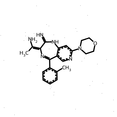 C/C(N)=C1\N=C(c2ccccc2C)c2cnc(N3CCOCC3)cc2NC1=N